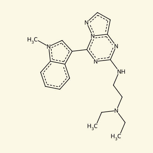 CCN(CC)CCNc1nc(-c2cn(C)c3ccccc23)n2nccc2n1